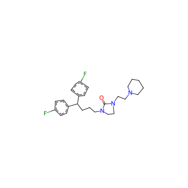 O=C1N(CCCC(c2ccc(F)cc2)c2ccc(F)cc2)CCN1CCN1CCCCC1